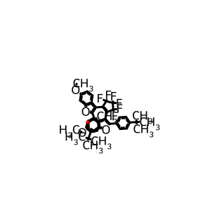 COc1ccc2c(C3=C(c4c(C5(C)C=CC(C(C)(C)C)=CC5)oc5cc(OC)ccc45)C(F)(F)C(F)(F)C3(F)F)c(-c3ccc(C(C)(C)C)cc3)oc2c1